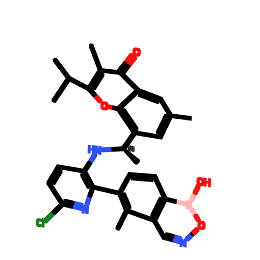 Cc1cc([C@@H](C)Nc2ccc(Cl)nc2-c2ccc3c(c2C)C=NOB3O)c2oc(C(C)C)c(C)c(=O)c2c1